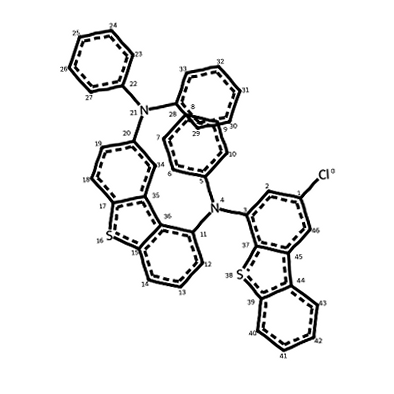 Clc1cc(N(c2ccccc2)c2cccc3sc4ccc(N(c5ccccc5)c5ccccc5)cc4c23)c2sc3ccccc3c2c1